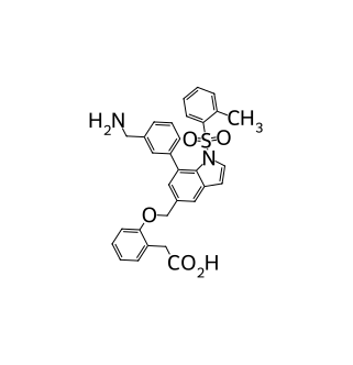 Cc1ccccc1S(=O)(=O)n1ccc2cc(COc3ccccc3CC(=O)O)cc(-c3cccc(CN)c3)c21